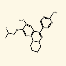 COc1cc2c(cc1OCC(F)F)C1CCCCC1N=C2c1cnc(SC)nc1